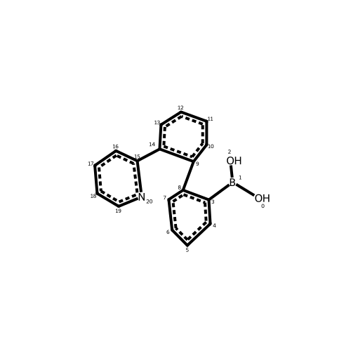 OB(O)c1ccccc1-c1ccccc1-c1ccccn1